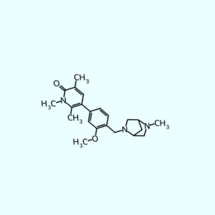 COc1cc(-c2cc(C)c(=O)n(C)c2C)ccc1CN1CC2CC1CN2C